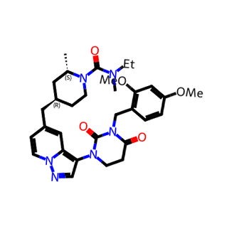 CCN(C)C(=O)N1CC[C@@H](Cc2ccn3ncc(N4CCC(=O)N(Cc5ccc(OC)cc5OC)C4=O)c3c2)C[C@@H]1C